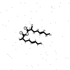 CCC=CCCC(C)C(=O)OC(=O)C(C)CCC=CCC